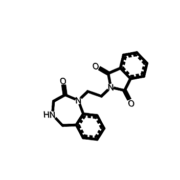 O=C1c2ccccc2C(=O)N1CCN1C(=O)CNCc2ccccc21